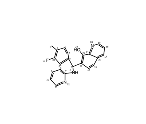 Cc1ccc(C(Nc2ccccn2)c2ccc3cccnc3c2O)cc1F